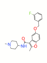 Cc1oc2ccc(OCc3cccc(F)c3)cc2c1C(=O)NC1CCN(C)CC1